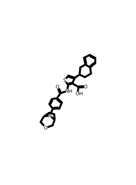 O=C(Nc1scc(C2CCc3ccccc3C2)c1C(=O)O)c1ccc(N2C3CCC2COC3)cc1